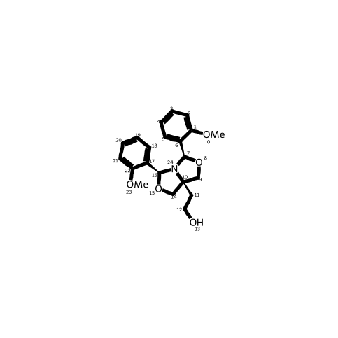 COc1ccccc1[C@H]1OC[C@]2(CCO)CO[C@@H](c3ccccc3OC)N12